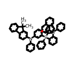 CC1(C)c2ccccc2-c2ccc(N(c3ccccc3)c3cccc([Si](c4ccccc4)(c4ccccc4)c4ccccc4N(c4ccccc4)c4cccc5ccccc45)c3)cc21